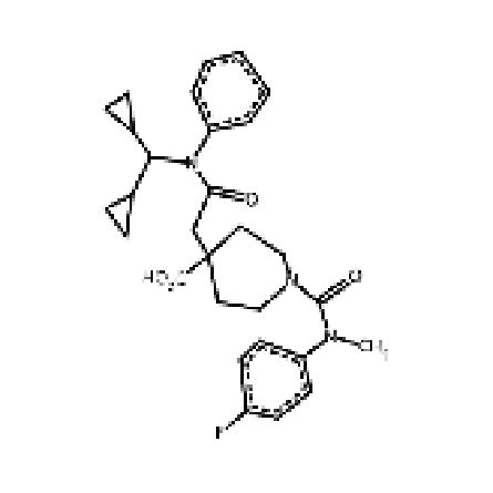 CN(C(=O)N1CCC(CC(=O)N(c2ccccc2)C(C2CC2)C2CC2)(C(=O)O)CC1)c1ccc(F)cc1